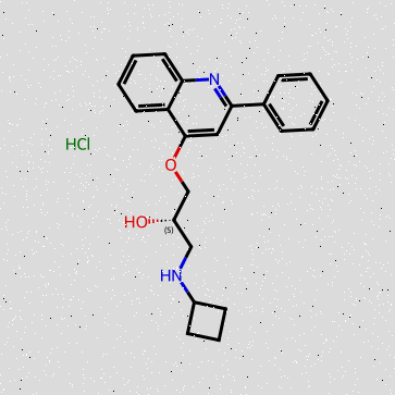 Cl.O[C@@H](CNC1CCC1)COc1cc(-c2ccccc2)nc2ccccc12